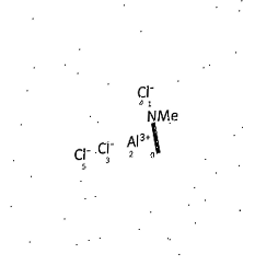 CNC.[Al+3].[Cl-].[Cl-].[Cl-]